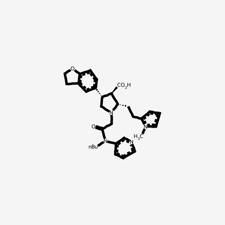 CCCCN(C(=O)CN1C[C@H](c2ccc3c(c2)CCO3)[C@@H](C(=O)O)[C@@H]1CCc1cccn1C)c1cccnc1